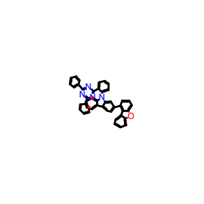 c1ccc(-c2nc(-c3ccccc3)nc(-c3ccccc3-n3c4ccccc4c4ccc(-c5cccc6oc7ccccc7c56)cc43)n2)cc1